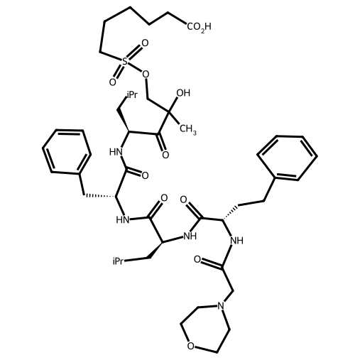 CC(C)C[C@H](NC(=O)[C@H](CCc1ccccc1)NC(=O)CN1CCOCC1)C(=O)N[C@H](Cc1ccccc1)C(=O)N[C@@H](CC(C)C)C(=O)C(C)(O)COS(=O)(=O)CCCCCC(=O)O